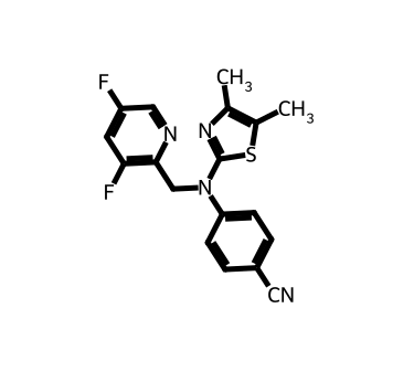 Cc1nc(N(Cc2ncc(F)cc2F)c2ccc(C#N)cc2)sc1C